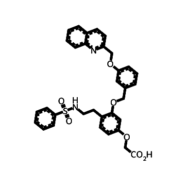 O=C(O)COc1ccc(CCNS(=O)(=O)c2ccccc2)c(OCc2cccc(OCc3ccc4ccccc4n3)c2)c1